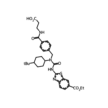 CCOC(=O)c1ccc2nc(NC(=O)N(Cc3ccc(C(=O)NCCC(=O)O)cc3)C3CCC(C(C)(C)C)CC3)sc2c1